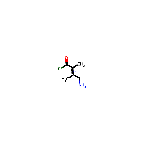 C/C(CN)=C(/C)C(=O)Cl